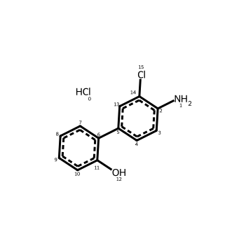 Cl.Nc1ccc(-c2ccccc2O)cc1Cl